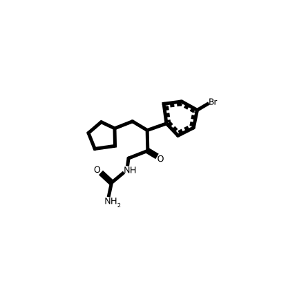 NC(=O)NCC(=O)C(CC1CCCC1)c1ccc(Br)cc1